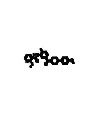 COc1ccc(C2CCN(C(=O)c3ccc(C)c(NC(=O)c4cccnc4SC)c3)CC2)cc1